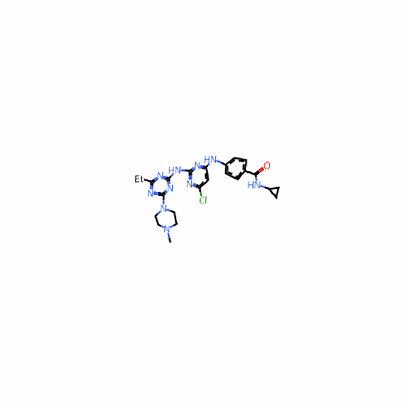 CCc1nc(Nc2nc(Cl)cc(Nc3ccc(C(=O)NC4CC4)cc3)n2)nc(N2CCN(C)CC2)n1